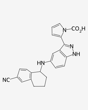 N#Cc1ccc2c(c1)CCCC2Nc1ccc2[nH]nc(-c3cccn3C(=O)O)c2c1